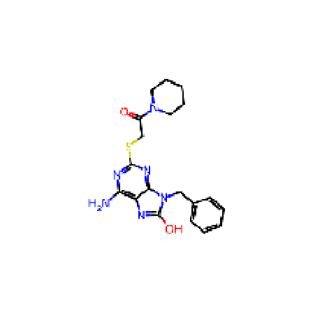 Nc1nc(SCC(=O)N2CCCCC2)nc2c1nc(O)n2Cc1ccccc1